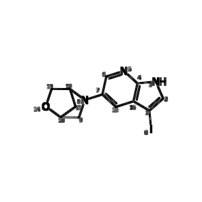 Ic1c[nH]c2ncc(N3CC4CC3CO4)cc12